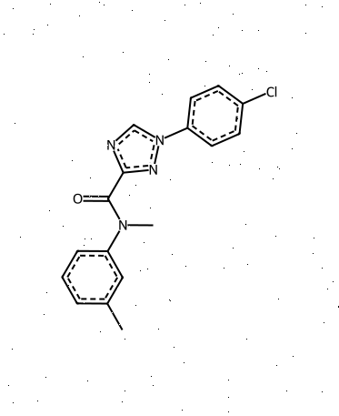 Cc1cccc(N(C)C(=O)c2ncn(-c3ccc(Cl)cc3)n2)c1